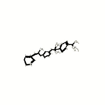 CC(Cc1cccnc1)Cc1cccc(CC(C)(C)c2ccc(C(C)C)cc2)c1